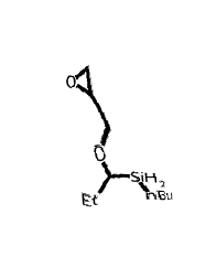 CCCC[SiH2]C(CC)OCC1CO1